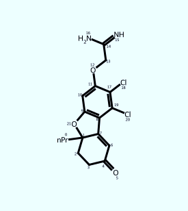 CCCC12CCC(=O)C=C1c1c(cc(OCC(=N)N)c(Cl)c1Cl)O2